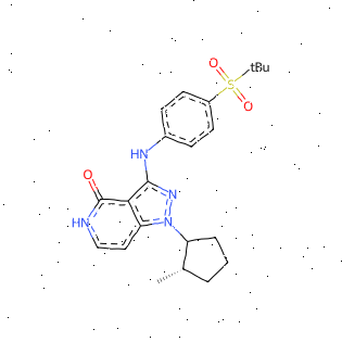 C[C@H]1CCCC1n1nc(Nc2ccc(S(=O)(=O)C(C)(C)C)cc2)c2c(=O)[nH]ccc21